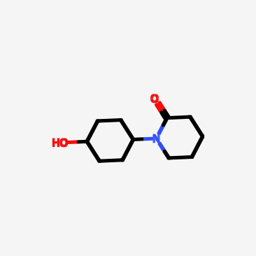 O=C1CCCCN1C1CCC(O)CC1